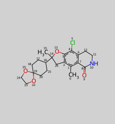 Cc1c2c(c(Cl)c3c1C(=O)NCC3)OC(C)(C1CCC3(CC1)OCCO3)C2